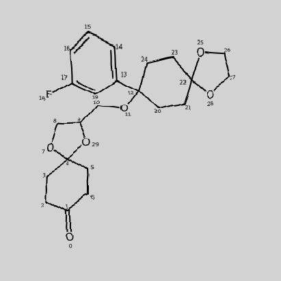 O=C1CCC2(CC1)OCC(COC1(c3cccc(F)c3)CCC3(CC1)OCCO3)O2